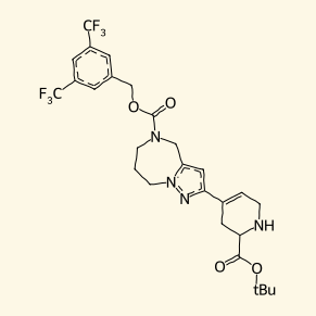 CC(C)(C)OC(=O)C1CC(c2cc3n(n2)CCCN(C(=O)OCc2cc(C(F)(F)F)cc(C(F)(F)F)c2)C3)=CCN1